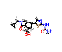 CNC(=O)Nc1nc(C)c(-c2cc3c(c(C(C)(C)O)c2)C(=O)N([C@@H](C)C2CC2)C3)s1